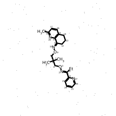 CC/C(=N\OCC(C)(C)CO/N=C1\CCCc2ccc(C)nc21)c1ccccn1